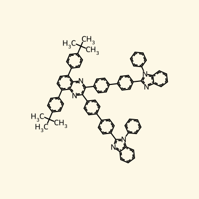 CC(C)(C)c1ccc(-c2ccc(-c3ccc(C(C)(C)C)cc3)c3nc(-c4ccc(-c5ccc(-c6nc7ccccc7n6-c6ccccc6)cc5)cc4)c(-c4ccc(-c5ccc(-c6nc7ccccc7n6-c6ccccc6)cc5)cc4)nc23)cc1